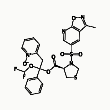 Cc1noc2ncc(S(=O)(=O)N3CSC[C@H]3C(=O)OC(Cc3cccc[n+]3[O-])(OC(F)F)c3ccccc3)cc12